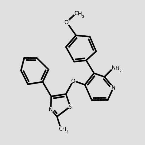 COc1ccc(-c2c(Oc3sc(C)nc3-c3ccccc3)ccnc2N)cc1